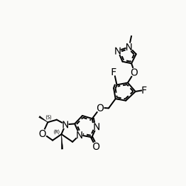 C[C@H]1CN2c3cc(OCc4cc(F)c(Oc5cnn(C)c5)c(F)c4)nc(=O)n3C[C@]2(C)CO1